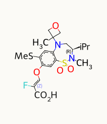 CSc1cc2c(cc1O/C=C(\F)C(=O)O)S(=O)(=O)N(C)[C@H](C(C)C)CN2C1(C)COC1